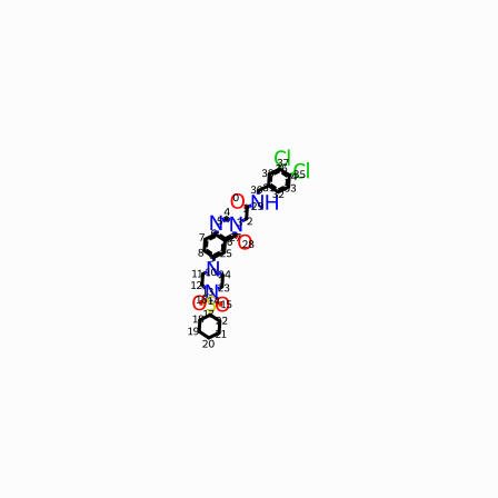 O=C(Cn1cnc2ccc(N3CCN(S(=O)(=O)C4CCCCC4)CC3)cc2c1=O)NCc1ccc(Cl)c(Cl)c1